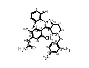 CCc1cccc(CC)c1-n1nc2c(c1-c1cc(F)c(NC(N)=O)cc1C)CN(Cc1ccc(C(F)(F)F)cc1C(F)(F)F)CC2